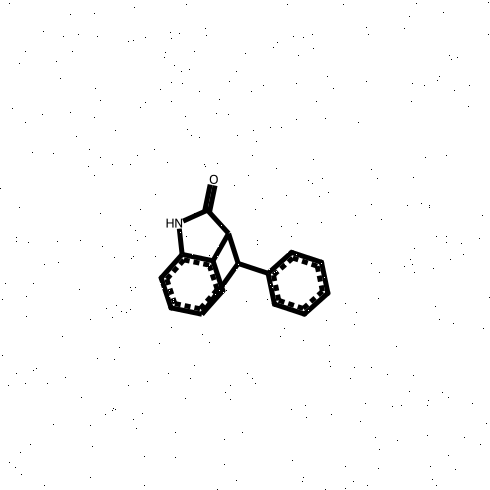 O=C1Nc2ccc3cc2C1C3c1ccccc1